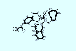 O=C(NO)c1ccc2c(c1)CN(C(=O)/C(=C\c1ccccc1)c1ccc3ccccc3c1)CC2